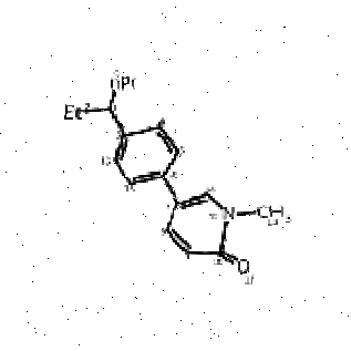 CCCC(CC)c1ccc(-c2ccc(=O)n(C)c2)cc1